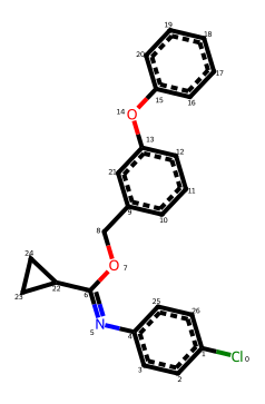 Clc1ccc(N=C(OCc2cccc(Oc3ccccc3)c2)C2CC2)cc1